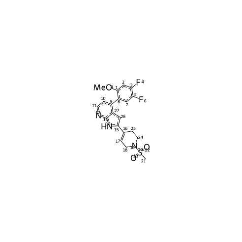 COc1cc(F)c(F)cc1-c1ccnc2[nH]c(C3=CCN(S(C)(=O)=O)CC3)cc12